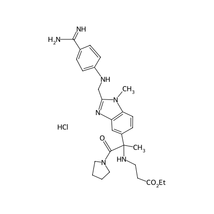 CCOC(=O)CCNC(C)(C(=O)N1CCCC1)c1ccc2c(c1)nc(CNc1ccc(C(=N)N)cc1)n2C.Cl